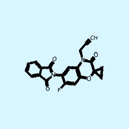 C#CCN1C(=O)C2(CC2)Oc2cc(F)c(N3C(=O)c4ccccc4C3=O)cc21